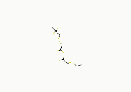 CCSCC(S)SC(S)CSCC(C)(S)S